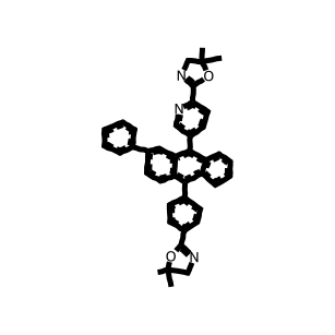 CC1(C)CN=C(c2ccc(-c3c4ccccc4c(-c4ccc(C5=NCC(C)(C)O5)nc4)c4cc(-c5ccccc5)ccc34)cc2)O1